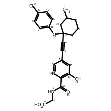 CC1CCCC(C#Cc2cnc(C(=O)NCC(=O)O)c(O)c2)(Oc2ccc(Cl)cc2)C1